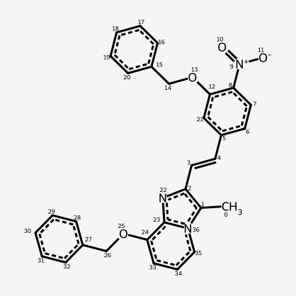 Cc1c(C=Cc2ccc([N+](=O)[O-])c(OCc3ccccc3)c2)nc2c(OCc3ccccc3)cccn12